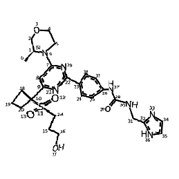 C[C@H]1COCCN1c1cc(C2(S(=O)(=O)CCCO)CCC2)nc(-c2ccc(NC(=O)NCc3ncc[nH]3)cc2)n1